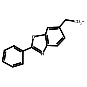 O=C(O)Cc1ccc2nc(-c3ccccc3)oc2c1